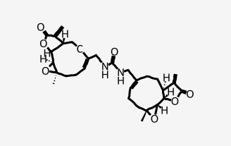 C=C1C(=O)O[C@H]2[C@H]1CC/C(CNC(=O)NC/C1=C/CC[C@@]3(C)O[C@H]3[C@H]3OC(=O)C(=C)[C@@H]3CC1)=C\CC[C@@]1(C)O[C@@H]21